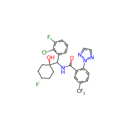 O=C(NC(c1cccc(F)c1Cl)[C@]1(O)CC[C@H](F)CC1)c1cc(C(F)(F)F)ccc1-n1nccn1